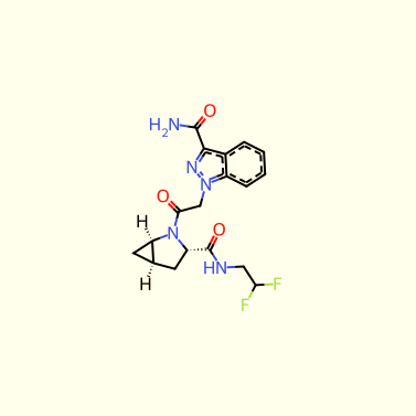 NC(=O)c1nn(CC(=O)N2[C@@H]3C[C@@H]3C[C@H]2C(=O)NCC(F)F)c2ccccc12